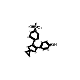 CS(=O)(=O)c1ccc(C2=C(c3ccc(S)cc3)CC3(CC3)C2)cc1